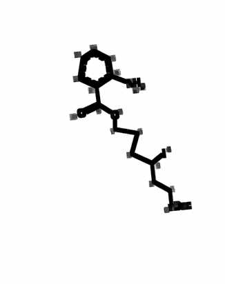 CCCCCCCCCCCCC(I)CCCOC(=O)c1ccccc1N